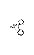 O=[SH](=O)O.c1ccc(CC2CCCS2)cc1